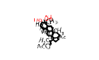 C=C(COC(C)=O)C1CC[C@]2(C(C)=O)CC[C@]3(C)C(CC[C@@H]4[C@@]5(C)CC[C@H](O)[C@@](C)(CO)[C@@H]5CC[C@]43C)[C@@H]12